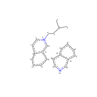 CC(C)CC[n+]1ccc2ccccc2c1.c1ccc2cnccc2c1